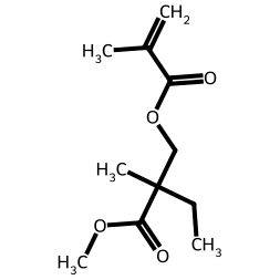 C=C(C)C(=O)OCC(C)(CC)C(=O)OC